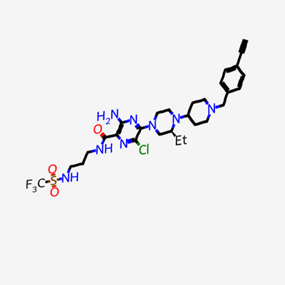 C#Cc1ccc(CN2CCC(N3CCN(c4nc(N)c(C(=O)NCCCNS(=O)(=O)C(F)(F)F)nc4Cl)C[C@@H]3CC)CC2)cc1